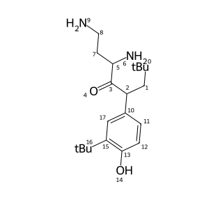 CC(C)(C)CC(C(=O)C(N)CCN)c1ccc(O)c(C(C)(C)C)c1